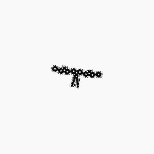 COCCOCCC1(CCOCCOC)c2cc(-c3ccc4c(c3)C(C)(C)c3cc(-c5ccccc5)ccc3-4)ccc2-c2ccc(-c3ccc4c(c3)C(C)(C)c3cc(-c5ccccc5)ccc3-4)cc21